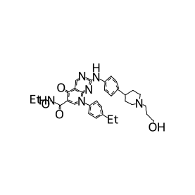 CCONC(=O)c1cn(-c2ccc(CC)cc2)c2nc(Nc3ccc(C4CCN(CCCO)CC4)cc3)ncc2c1=O